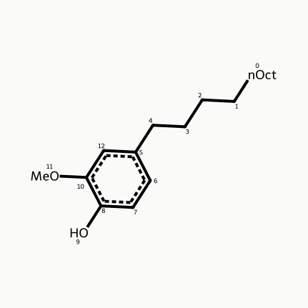 CCCCCCCCCCCCc1ccc(O)c(OC)c1